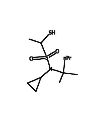 CCCC(C)(C)N(C1CC1)S(=O)(=O)C(C)S